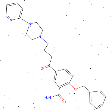 NC(=O)c1cc(C(=O)CCCN2CCN(c3ccccn3)CC2)ccc1OCc1ccccc1